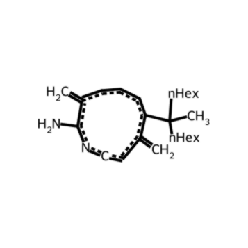 C=c1ccnc(N)c(=C)cccc1C(C)(CCCCCC)CCCCCC